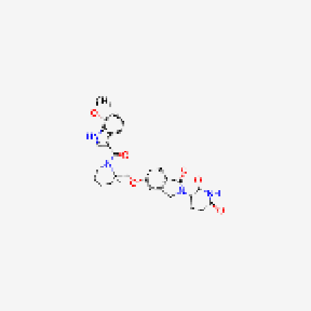 COc1cccc2c(C(=O)N3CCCC[C@H]3COc3ccc4c(c3)CN(C3CCC(=O)NC3=O)C4=O)c[nH]c12